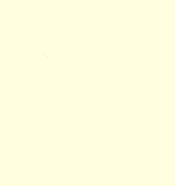 CC(C)(CI)c1ccc(CCOc2ncnc3ccccc23)cc1